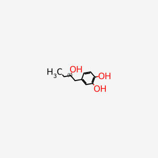 CC[C@H](O)Cc1ccc(O)c(O)c1